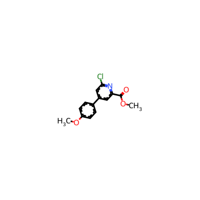 COC(=O)c1cc(-c2ccc(OC)cc2)cc(Cl)n1